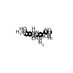 COc1cc2c(cc1Nc1ncc3c(N)c(F)c(-c4cnc5c(c4C)NCCO5)cc3n1)[C@H](CO)N(C)CC2